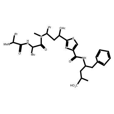 CCC(C)C(NC(=O)C(NC)C(C)C)C(=O)N(C)C(CC(OC(C)=O)c1nc(C(=O)NC(Cc2ccccc2)CC(C)C(=O)O)cs1)C(C)C